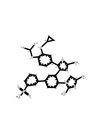 Cc1nc(-c2cc(-c3cccc(S(C)(=O)=O)c3)ccc2-n2cc(C(F)(F)F)nc2C)c(-c2ccc(OC(F)F)c(OC3CC3)c2)o1